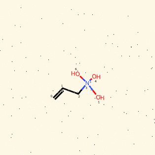 C=CC[N+](O)(O)O